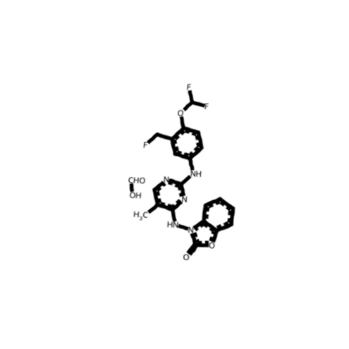 Cc1cnc(Nc2ccc(OC(F)F)c(CF)c2)nc1Nn1c(=O)oc2ccccc21.O=CO